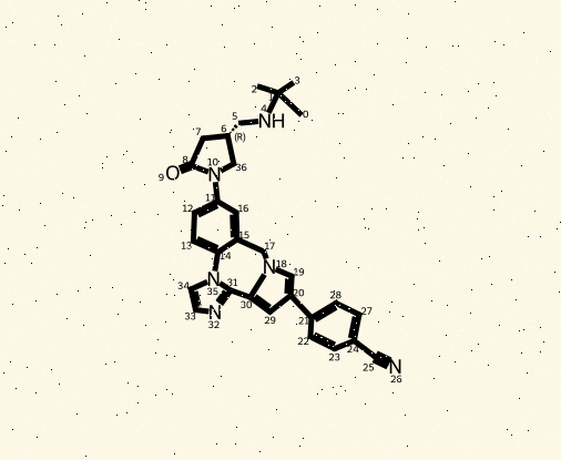 CC(C)(C)NC[C@H]1CC(=O)N(c2ccc3c(c2)Cn2cc(-c4ccc(C#N)cc4)cc2-c2nccn2-3)C1